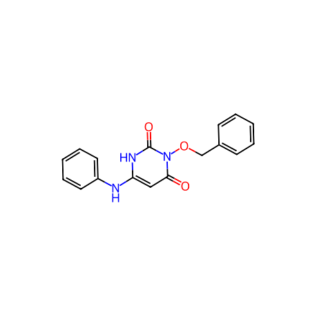 O=c1cc(Nc2ccccc2)[nH]c(=O)n1OCc1ccccc1